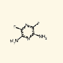 Nc1nc(N)c(F)nc1F